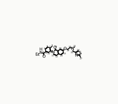 CCNC(=O)c1ccc(C)c(-n2ccc3ccc(OCCN(C)Cc4csc(C)n4)cc3c2=O)c1